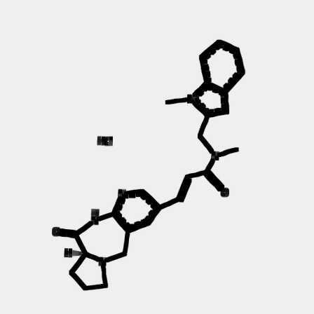 CN(Cc1cc2ccccc2n1C)C(=O)/C=C/c1cnc2c(c1)CN1CCC[C@H]1C(=O)N2.Cl